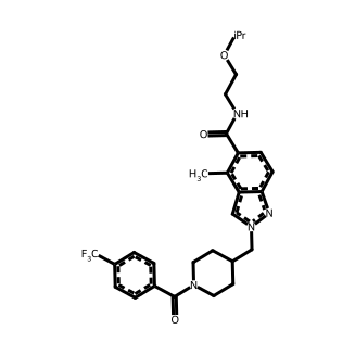 Cc1c(C(=O)NCCOC(C)C)ccc2nn(CC3CCN(C(=O)c4ccc(C(F)(F)F)cc4)CC3)cc12